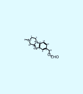 CN1CCn2c(nc3cc(COC=O)ccc32)C1